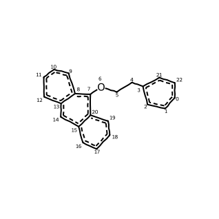 c1ccc(CCOc2c3ccccc3cc3ccccc23)cc1